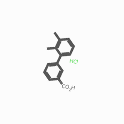 Cc1cccc(-c2cccc(C(=O)O)c2)c1C.Cl